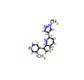 Cc1cnccc1-c1csc2ccc(-c3cnn(C)c3)nc12